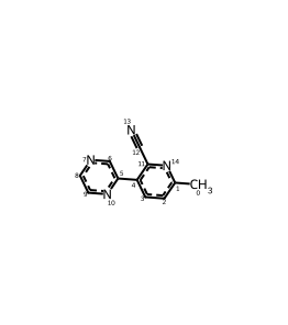 Cc1ccc(-c2cnccn2)c(C#N)n1